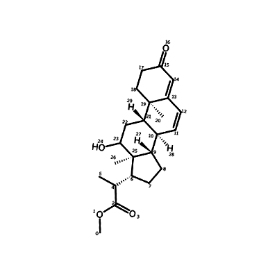 COC(=O)C(C)[C@H]1CC[C@H]2[C@@H]3C=CC4=CC(=O)CC[C@]4(C)[C@H]3CC(O)[C@]12C